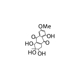 COc1cc(O)c2c(c1)C(=O)C1=C(CC(O)C(C)(O)C1O)C2=O